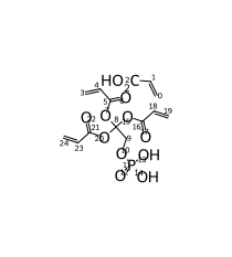 C=CC(=O)O.C=CC(=O)OC(COP(=O)(O)O)(OC(=O)C=C)OC(=O)C=C